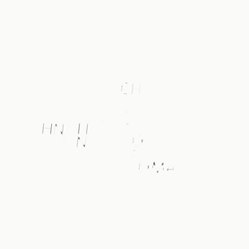 COC(=O)CC(c1ccc(C)cc1)C1CCCCC(=N)N1